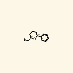 IC[C@H]1CCC[C@@H](c2ccccc2)O1